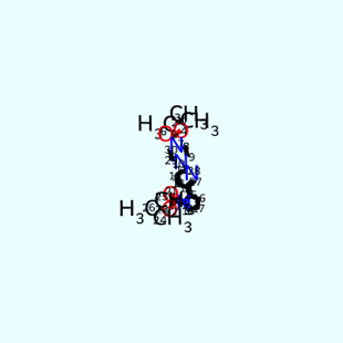 CC(C)(C)OC(=O)N1CCN(c2ccc(C3CCCN3C(=O)OC(C)(C)C)cn2)CC1